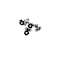 CC1(C)CCc2nc(Nc3cc(S(=O)(=O)c4ccccc4)cc(NCCS(C)(=O)=O)n3)sc21